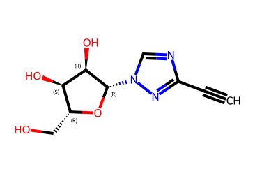 C#Cc1ncn([C@@H]2O[C@H](CO)[C@@H](O)[C@H]2O)n1